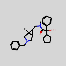 CN(C[C@H]1C2CN(Cc3ccccc3)C[C@@H]21)C(=O)[C@](O)(c1ccccc1)C1CCCC1